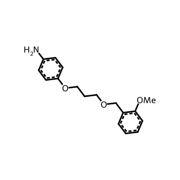 COc1ccccc1COCCCOc1ccc(N)cc1